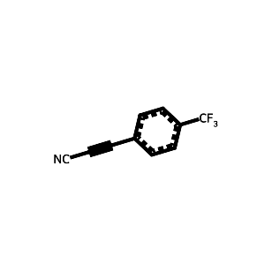 N#CC#Cc1ccc(C(F)(F)[18F])cc1